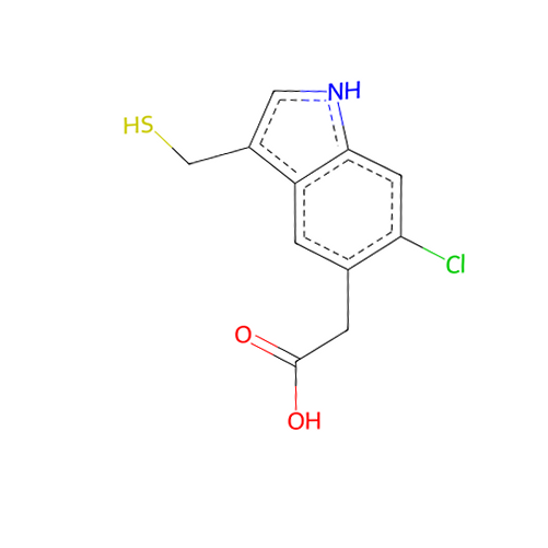 O=C(O)Cc1cc2c(CS)c[nH]c2cc1Cl